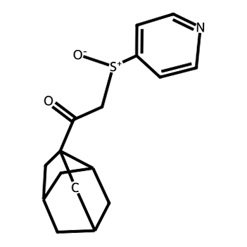 O=C(C[S+]([O-])c1ccncc1)C12CC3CC(CC1C3)C2